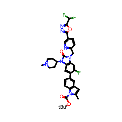 Cc1cc2cc(-c3cc4c(cc3F)n(Cc3ccc(-c5nnc(C(F)F)o5)cn3)c(=O)n4C3CCN(C)CC3)ccc2n1C(=O)OC(C)(C)C